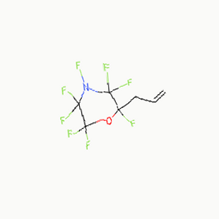 C=CCC1(F)OC(F)(F)C(F)(F)N(F)C1(F)F